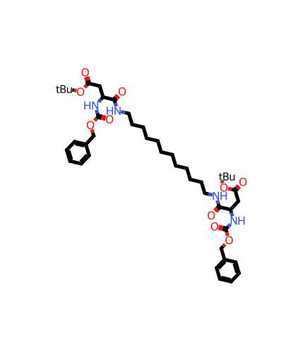 CC(C)(C)OC(=O)CC(NC(=O)OCc1ccccc1)C(=O)NCCCCCCCCCCCCNC(=O)C(CC(=O)OC(C)(C)C)NC(=O)OCc1ccccc1